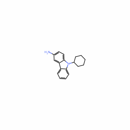 Nc1ccc2c(c1)c1ccccc1n2C1CCCCC1